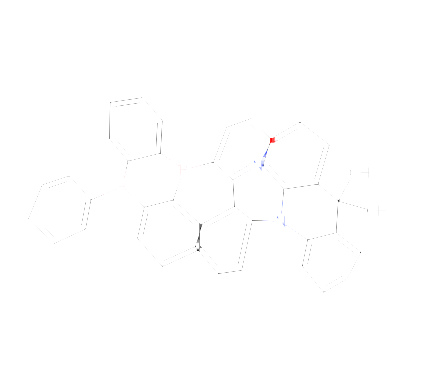 CC1(C)c2ccccc2N(c2ccccc2-c2ncccc2B2c3ccccc3B(c3ccccc3)c3ccccc32)c2ccccc21